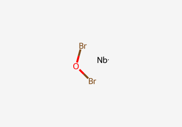 BrOBr.[Nb]